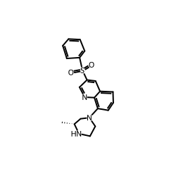 C[C@@H]1CN(c2cccc3cc(S(=O)(=O)c4ccccc4)cnc23)CCN1